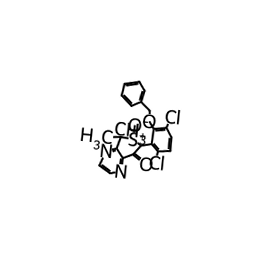 CC1(C)c2nccnc2C(=O)C(c2c(Cl)ccc(Cl)c2OCc2ccccc2)[S+]1[O-]